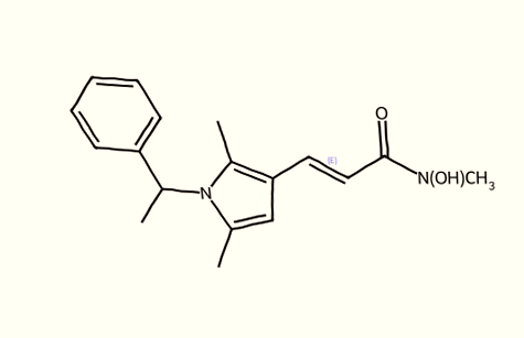 Cc1cc(/C=C/C(=O)N(C)O)c(C)n1C(C)c1ccccc1